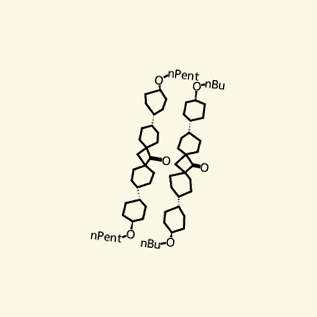 CCCCCO[C@H]1CC[C@H](C2CCC3(CC2)CC2(CCC([C@H]4CC[C@H](OCCCCC)CC4)CC2)C3=O)CC1.CCCCO[C@H]1CC[C@H](C2CCC3(CC2)CC2(CCC([C@H]4CC[C@H](OCCCC)CC4)CC2)C3=O)CC1